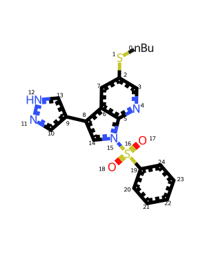 CCCCSc1cnc2c(c1)c(-c1cn[nH]c1)cn2S(=O)(=O)c1ccccc1